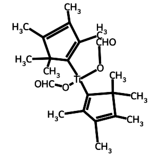 CC1=C(C)C(C)(C)[C]([Ti]([O]C=O)([O]C=O)[C]2=C(C)C(C)=C(C)C2(C)C)=C1C